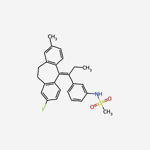 CC/C(=C1\c2ccc(C)cc2CCc2cc(F)ccc21)c1cccc(NS(C)(=O)=O)c1